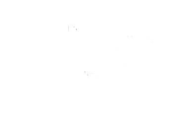 CC(C)(C)OC(=O)C1CNC(C(=O)c2ccccc2)C1N